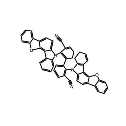 N#CC1=CCCC(c2cccc(C#N)c2-n2c3c(c4c5oc6ccccc6c5ccc42)C=CCC3)=C1n1c2ccccc2c2c3oc4ccccc4c3ccc21